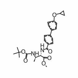 COC(=O)[C@@H](NC(=O)c1ccc(-c2ccc(OC3CC3)cc2)cc1)[C@@H](C)NC(=O)OC(C)(C)C